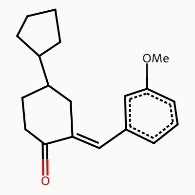 COc1cccc(C=C2CC(C3CCCC3)CCC2=O)c1